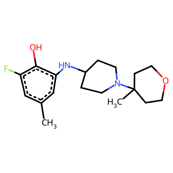 Cc1cc(F)c(O)c(NC2CCN(C3(C)CCOCC3)CC2)c1